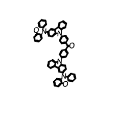 O=C(c1ccc(-n2c3ccccc3c3cc(N4c5ccccc5Oc5ccccc54)ccc32)cc1)c1ccc(-n2c3ccccc3c3cc(N4c5ccccc5Oc5ccccc54)ccc32)cc1